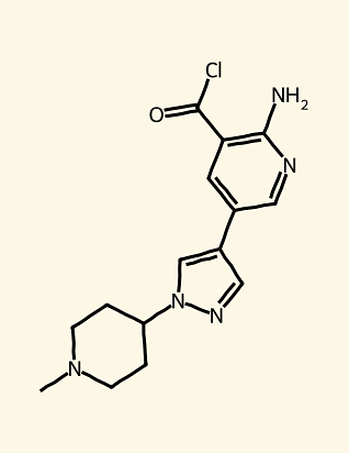 CN1CCC(n2cc(-c3cnc(N)c(C(=O)Cl)c3)cn2)CC1